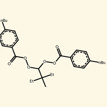 [CH2]C(CC)(CC)[C](OOC(=O)c1ccc(CCCC)cc1)OOC(=O)c1ccc(CCCC)cc1